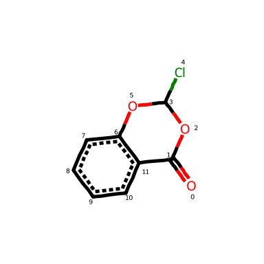 O=C1OC(Cl)Oc2ccccc21